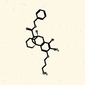 CCCCOc1cc2c(c(Br)c1N)C[C@H]1C3CCCC[C@@]23CCN1C(=O)OCc1ccccc1